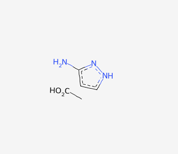 CC(=O)O.Nc1cc[nH]n1